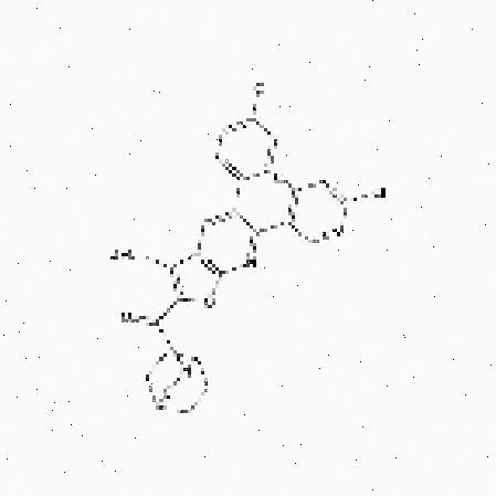 CC(=O)Nc1c(C(=O)N2CC3CCC2CC3)oc2nc(-c3ccc(Cl)cc3Cl)c(-c3ccc(Cl)cc3)cc12